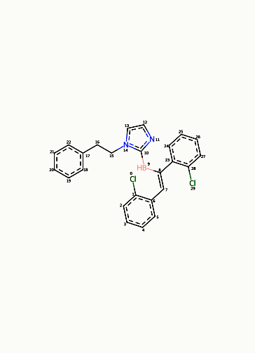 Clc1ccccc1C=C(Bc1nccn1CCc1ccccc1)c1ccccc1Cl